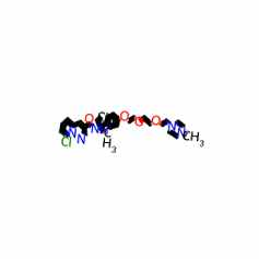 CCC(CC)(NC(=O)/C(C#N)=C/c1cccc(Cl)n1)c1ccc(OCCOCCOCCN2CCN(C)CC2)cc1